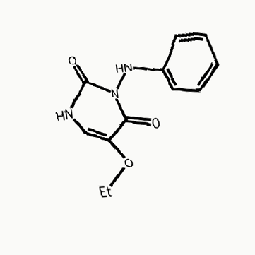 CCOc1c[nH]c(=O)n(Nc2ccccc2)c1=O